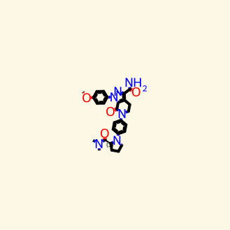 COc1ccc(-n2nc(C(N)=O)c3c2C(=O)N(c2ccc(N4CCC[C@H]4C(=O)N(C)C)cc2)CC3)cc1